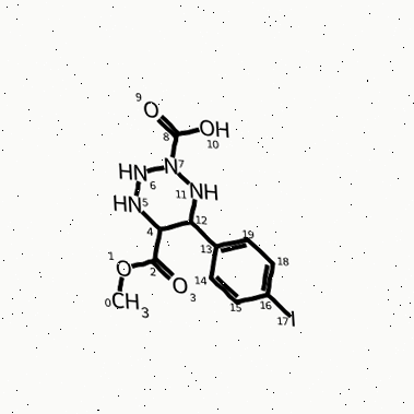 COC(=O)C1NNN(C(=O)O)NC1c1ccc(I)cc1